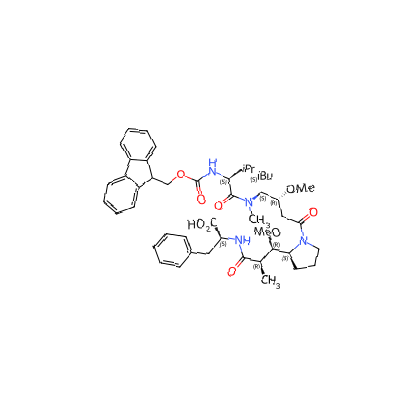 CC[C@H](C)[C@@H]([C@@H](CC(=O)N1CCC[C@H]1[C@H](OC)[C@@H](C)C(=O)N[C@@H](Cc1ccccc1)C(=O)O)OC)N(C)C(=O)[C@@H](NC(=O)OCC1c2ccccc2-c2ccccc21)C(C)C